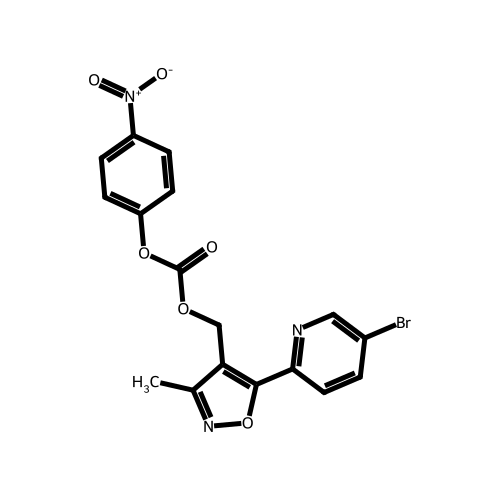 Cc1noc(-c2ccc(Br)cn2)c1COC(=O)Oc1ccc([N+](=O)[O-])cc1